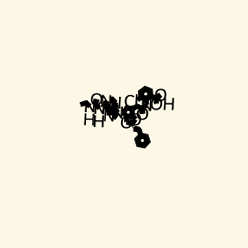 CCNC(=O)Nc1ncnc2c1ncn2C1CC(CC(=O)N(C)c2c(Cl)cccc2C(=O)O)C2O[C@H](/C=C/c3ccccc3)OC21